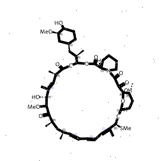 COC1C(=O)[C@H](C)C[C@H](C)/C=C/C=C/C=C(\C)[C@H](SC)C[C@@H]2CC[C@@H](C)[C@@](O)(O2)C(=O)C(=O)N2CCCC[C@H]2C(=O)OC([C@H](C)C[C@@H]2CCC(O)[C@H](OC)C2)CC(=O)[C@H](C)/C=C(\C)[C@H]1O